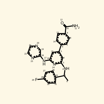 CC(Nc1cc(-c2ccc(C(N)=O)cc2)cc(Nc2cnccn2)n1)c1ccc(F)cc1